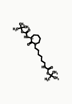 CC(C)(C)OC(=O)NCCCCCCN1CCCC[C@H](NC(=O)OC(C)(C)C)C1=O